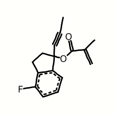 C=C(C)C(=O)OC1(C#CC)CCc2c(F)cccc21